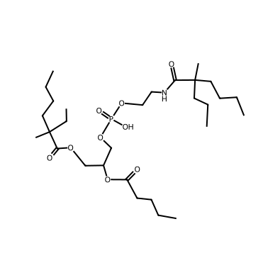 CCCCC(=O)OC(COC(=O)C(C)(CC)CCCC)COP(=O)(O)OCCNC(=O)C(C)(CCC)CCCC